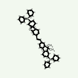 CC1(C)c2cc(/C=C/c3ccc4c(c3)oc3cc(N(c5ccccc5)c5ccccc5)ccc34)ccc2-c2ccc(N(c3ccccc3)c3ccccc3)cc21